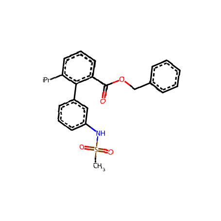 CC(C)c1cccc(C(=O)OCc2ccccc2)c1-c1cccc(NS(C)(=O)=O)c1